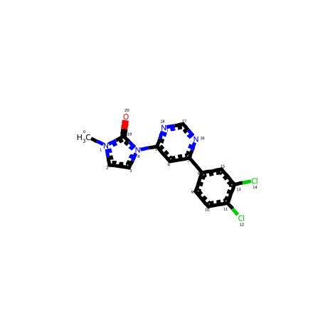 Cn1ccn(-c2cc(-c3ccc(Cl)c(Cl)c3)ncn2)c1=O